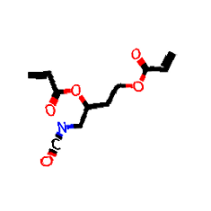 C=CC(=O)OCCC(CN=C=O)OC(=O)C=C